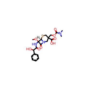 COC1(NC(=O)C(O)c2ccccc2)C(=O)N2CC(COC(=O)N(C)C)(C(=O)O)CS[C@@H]21